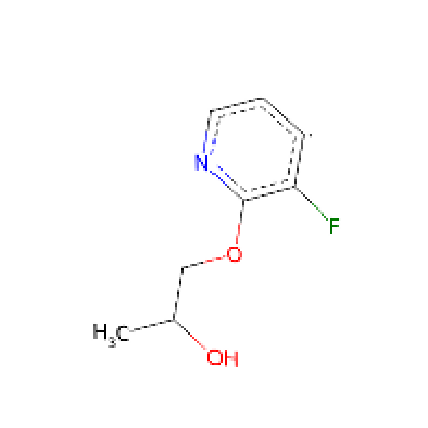 CC(O)COc1ncc[c]c1F